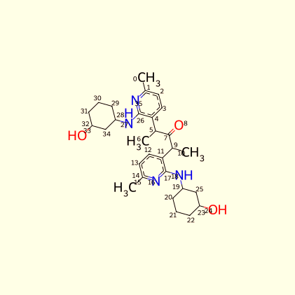 Cc1ccc(C(C)C(=O)C(C)c2ccc(C)nc2NC2CCCC(O)C2)c(NC2CCCC(O)C2)n1